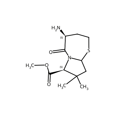 COC(=O)[C@H]1N2C(=O)[C@@H](N)CCSC2CC1(C)C